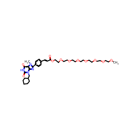 COCCOCCOCCOCCOCCOCCOCCOC(=O)/C=C/c1ccc(-c2nc3c(c(=O)[nH]c(=O)n3CC3CCCCC3)n2C)cc1